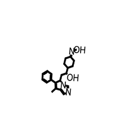 CC1=C(c2ccccc2)C(CC(O)C2CCC(=NO)CC2)n2cncc21